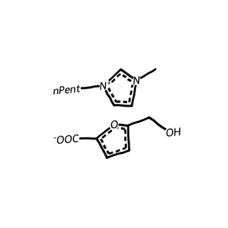 CCCCC[n+]1ccn(C)c1.O=C([O-])c1ccc(CO)o1